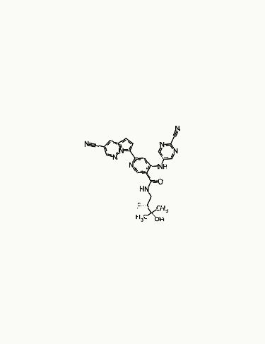 CC(C)(O)[C@H](F)CNC(=O)c1cnc(-c2ccc3cc(C#N)cnn23)cc1Nc1cnc(C#N)nc1